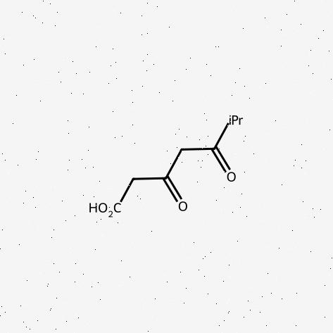 CC(C)C(=O)CC(=O)CC(=O)O